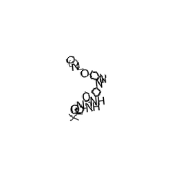 CC(C)(C)c1cc(NC(=O)Nc2ccc(-n3cnc4ccc(OCCN5CCOCC5)cc43)cc2)no1